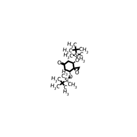 CC(C)(C)[Si](C)(C)O[C@@H]1CC(=O)C[C@@H](O[Si](C)(C)C(C)(C)C)C12CO2